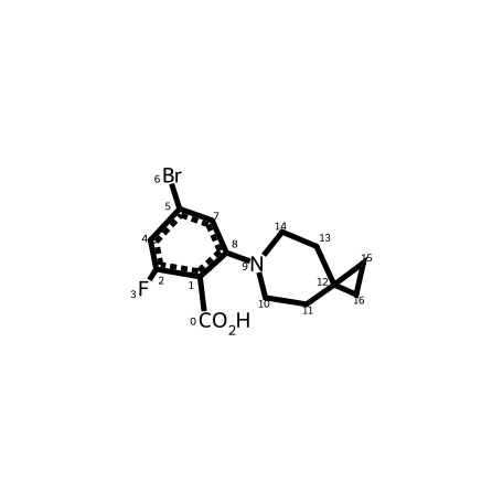 O=C(O)c1c(F)cc(Br)cc1N1CCC2(CC1)CC2